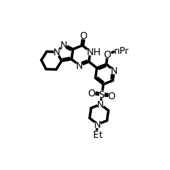 CCCOc1ncc(S(=O)(=O)N2CCN(CC)CC2)cc1-c1nc2c3n(nc2c(=O)[nH]1)CCCC3